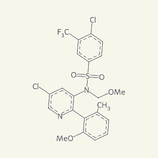 COCN(c1cc(Cl)cnc1-c1c(C)cccc1OC)S(=O)(=O)c1ccc(Cl)c(C(F)(F)F)c1